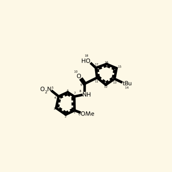 COc1ccc([N+](=O)[O-])cc1NC(=O)c1cc(C(C)(C)C)ccc1O